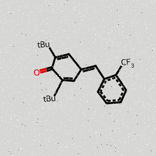 CC(C)(C)C1=CC(=Cc2ccccc2C(F)(F)F)C=C(C(C)(C)C)C1=O